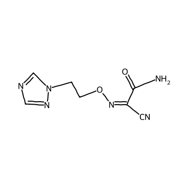 N#CC(=NOCCn1cncn1)C(N)=O